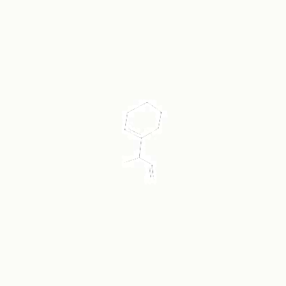 CC([C]=O)C1=CCCCC1